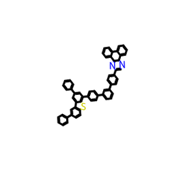 c1ccc(-c2ccc3sc4c(-c5ccc(-c6cccc(-c7ccc(-c8cnc9c%10ccccc%10c%10ccccc%10c9n8)cc7)c6)cc5)cc(-c5ccccc5)cc4c3c2)cc1